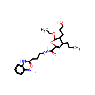 CCCC1C=C(C(=O)NCCCCC(=O)Nc2ccccc2N)OC(OCC)C1CCCO